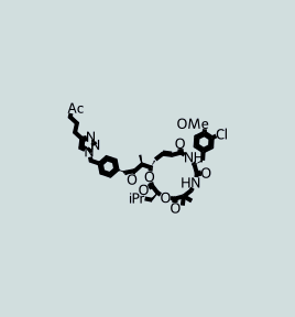 COc1ccc(C[C@H]2NC(=O)/C=C/C[C@@H]([C@H](C)[C@H]3O[C@@H]3c3ccc(Cn4cc(CCCC(C)=O)nn4)cc3)OC(=O)[C@H](CC(C)C)OC(=O)C(C)(C)CNC2=O)cc1Cl